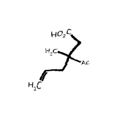 C=CCC(C)(CC(=O)O)C(C)=O